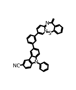 C=C1N=C2C=CC(c3cccc(-c4ccc5c(c4)c4cc(C#N)ccc4n5-c4ccccc4)c3)=CN2Sc2ccccc21